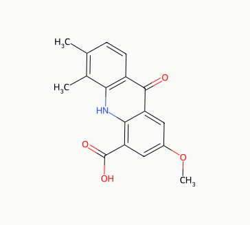 COc1cc(C(=O)O)c2[nH]c3c(C)c(C)ccc3c(=O)c2c1